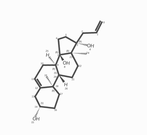 C=CC[C@]1(O)CC[C@@]2(O)[C@@H]3CC=C4C[C@@H](O)CC[C@]4(C)[C@H]3CC[C@]12C